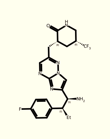 CC[C@@H](c1ccc(F)cc1)[C@H](N)c1cn2nc(C[C@H]3C[C@@H](C(F)(F)F)CNC3=O)cnc2n1